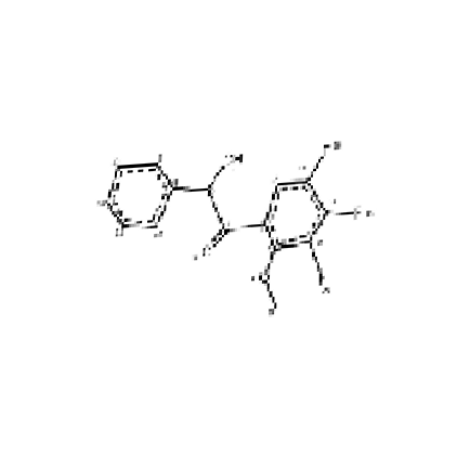 COc1c(C(=O)C(O)c2ccccc2)cc(F)c(F)c1F